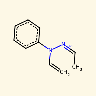 C=CN(/N=C\C)c1ccccc1